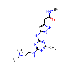 Cc1nc(NCCN(C)C)nc(Nc2cc(CC(=O)NC(C)C)[nH]n2)n1